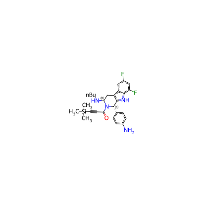 CCCCN[C@H]1Cc2c([nH]c3c(F)cc(F)cc23)[C@H](c2ccc(N)cc2)N1C(=O)C#C[Si](C)(C)C